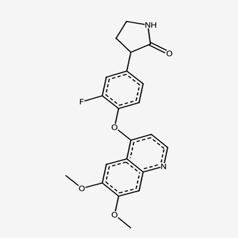 COc1cc2nccc(Oc3ccc(C4CCNC4=O)cc3F)c2cc1OC